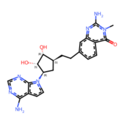 Cn1c(N)nc2cc(CC[C@H]3C[C@@H](n4ccc5c(N)ncnc54)[C@H](O)[C@@H]3O)ccc2c1=O